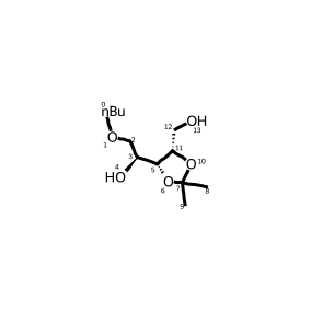 CCCCOC[C@H](O)[C@H]1OC(C)(C)O[C@H]1CO